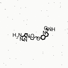 CNC(=O)c1ccc2ccc(OCC3CCC(n4ccc5c(N)ncnc54)O3)cc2n1